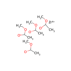 COC(C)[O-].COC(C)[O-].COC(C)[O-].COC(C)[O-].[Zr+4]